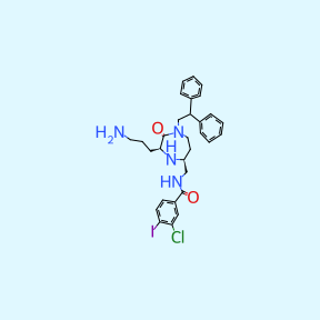 NCCC[C@@H]1N[C@H](CNC(=O)c2ccc(I)c(Cl)c2)CCN(CC(c2ccccc2)c2ccccc2)C1=O